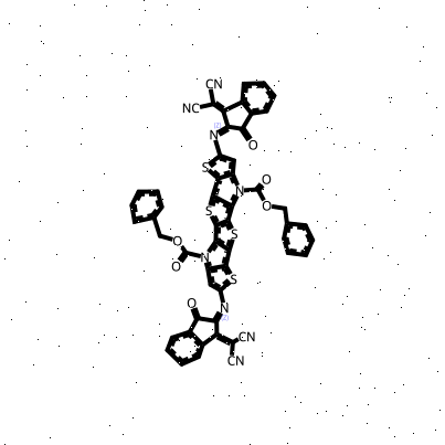 N#CC(C#N)=C1/C(=N/c2cc3c(s2)c2sc4c(sc5c6sc(/N=C7\C(=O)c8ccccc8C7=C(C#N)C#N)cc6n(C(=O)OCc6ccccc6)c54)c2n3C(=O)OCc2ccccc2)C(=O)c2ccccc21